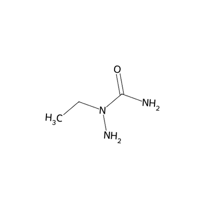 CCN(N)C(N)=O